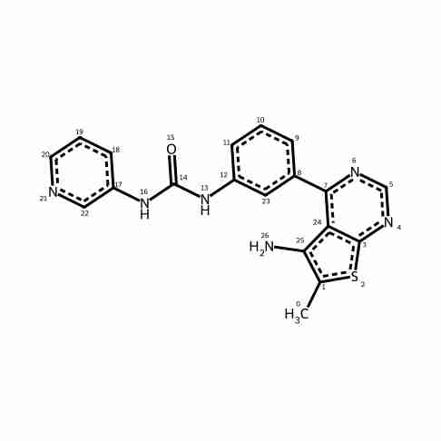 Cc1sc2ncnc(-c3cccc(NC(=O)Nc4cccnc4)c3)c2c1N